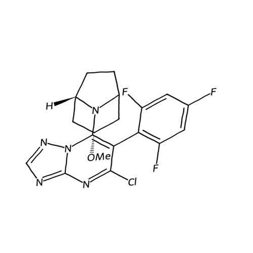 CO[C@H]1CC2CC[C@@H](C1)N2c1c(-c2c(F)cc(F)cc2F)c(Cl)nc2ncnn12